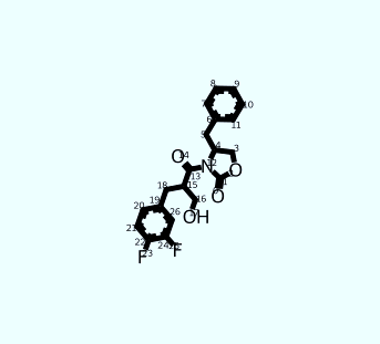 O=C1OCC(Cc2ccccc2)N1C(=O)C(CO)Cc1ccc(F)c(F)c1